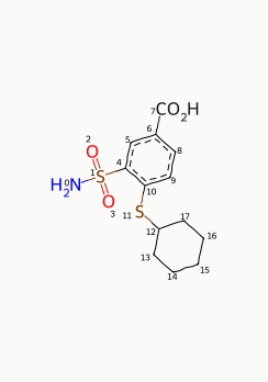 NS(=O)(=O)c1cc(C(=O)O)ccc1SC1CCCCC1